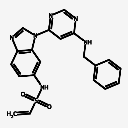 C=CS(=O)(=O)Nc1ccc2ncn(-c3cc(NCc4ccccc4)ncn3)c2c1